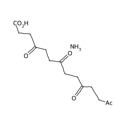 CC(=O)CCC(=O)CCC(=O)CCC(=O)CCC(=O)O.N